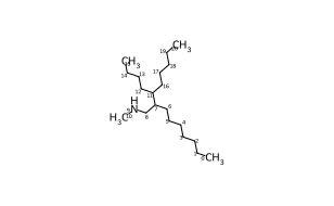 CCCCCCCC(CNC)C(CCCC)CCCCC